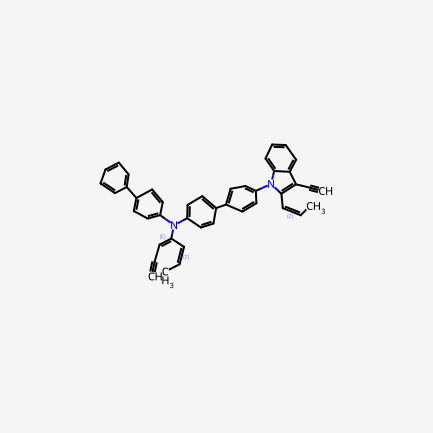 C#C/C=C(\C=C/C)N(c1ccc(-c2ccccc2)cc1)c1ccc(-c2ccc(-n3c(/C=C\C)c(C#C)c4ccccc43)cc2)cc1